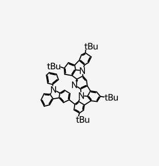 CC(C)(C)c1ccc2c(c1)c1cc(C(C)(C)C)cc3c4nc5c(cc4n2c13)c1cc(C(C)(C)C)cc2c3cc(C(C)(C)C)cc(-c4ccc6c(c4)c4ccccc4n6-c4ccccc4)c3n5c12